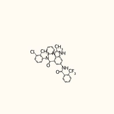 Cc1nc2c(C(=O)N(c3ccccc3)c3cccc(Cl)c3C)cc(NC(=O)c3ccccc3C(F)(F)F)cc2[nH]1